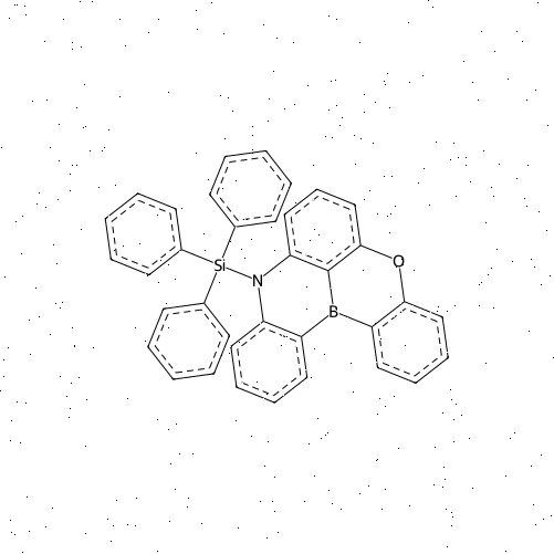 c1ccc([Si](c2ccccc2)(c2ccccc2)N2c3ccccc3B3c4ccccc4Oc4cccc2c43)cc1